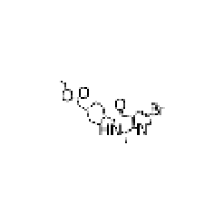 CCOC(=O)CC1CCC(CNC(C)c2ncc(Br)cc2C=O)CC1